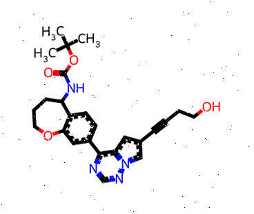 CC(C)(C)OC(=O)NC1CCCOc2cc(-c3ncnn4cc(C#CCCO)cc34)ccc21